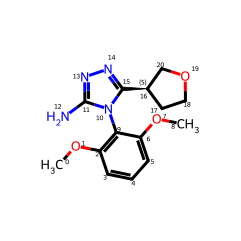 COc1cccc(OC)c1-n1c(N)nnc1[C@@H]1CCOC1